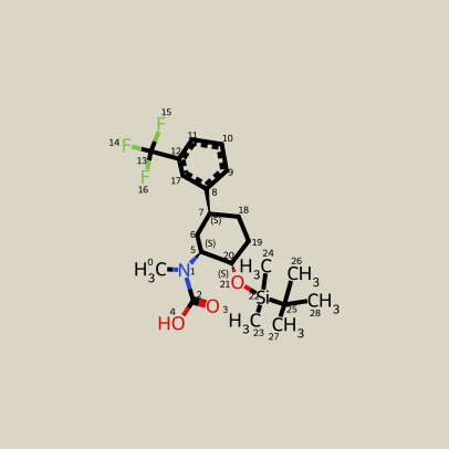 CN(C(=O)O)[C@H]1C[C@@H](c2cccc(C(F)(F)F)c2)CC[C@@H]1O[Si](C)(C)C(C)(C)C